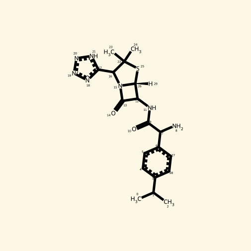 CC(C)c1ccc(C(N)C(=O)NC2C(=O)N3C(c4nnn[nH]4)C(C)(C)S[C@H]23)cc1